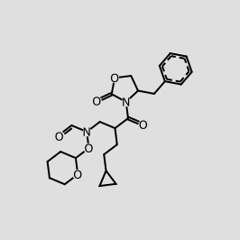 O=CN(CC(CCC1CC1)C(=O)N1C(=O)OCC1Cc1ccccc1)OC1CCCCO1